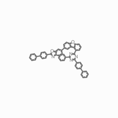 c1ccc(-c2ccc(-c3nc(-c4ccccc4)nc(-c4cccc5oc6ccc(-c7ccc8nc(-c9ccc(-c%10ccccc%10)cc9)oc8c7)cc6c45)n3)cc2)cc1